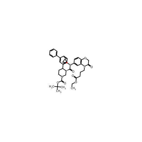 CCOC(=O)CCCN1C(=O)COc2ccc(N(C(=O)[C@H]3CN(C(=O)OC(C)(C)C)CCC3c3cccc(-c4ccccc4)c3)C3CC3)cc21